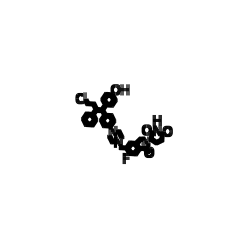 O=C1CCC(N2Cc3cc(CN4CCN(c5ccc(C(=C(CCCl)c6ccccc6)c6ccc(O)cc6)cc5)CC4)c(F)cc3C2=O)C(=O)N1